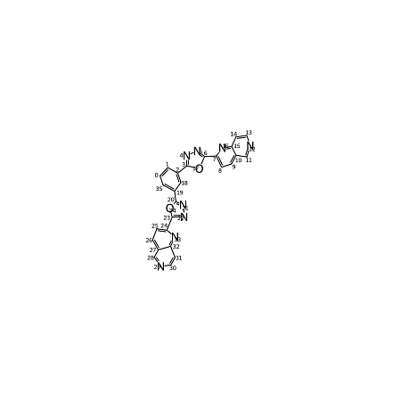 c1cc(-c2nnc(-c3ccc4cnccc4n3)o2)cc(-c2nnc(-c3ccc4cnccc4n3)o2)c1